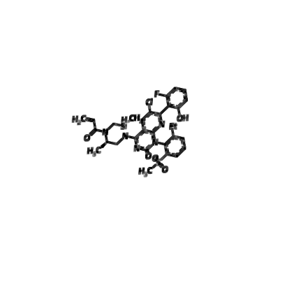 C=CC(=O)N1C[Si@H](C)N(c2nc(=O)n(-c3c(CC)cccc3S(C)(=O)=O)c3nc(-c4c(O)cccc4F)c(Cl)cc23)C[C@H]1C